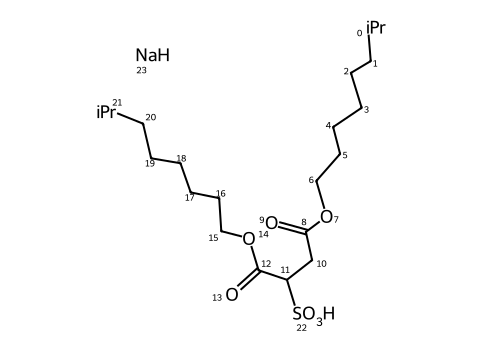 CC(C)CCCCCCOC(=O)CC(C(=O)OCCCCCCC(C)C)S(=O)(=O)O.[NaH]